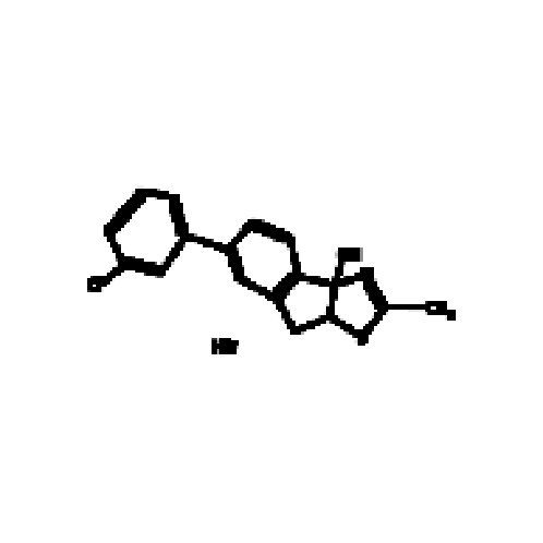 Br.CC1=NC2(O)c3ccc(-c4cccc(Cl)c4)cc3CC2S1